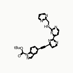 CC(C)(C)OC(=O)n1ncc2cc(C#Cc3ccnc(-c4ccnc(NCc5ncccn5)n4)n3)ccc21